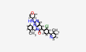 Cc1ccccc1Cn1c(=O)c(-c2ccc(-c3ncccc3C)cc2Cl)cc2cnc(NC3CCOCC3)nc21